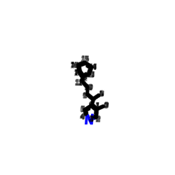 Cc1cnccc1C(C)CCCc1ccccc1